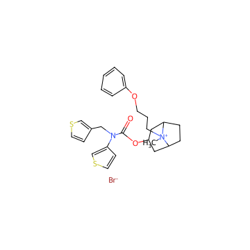 C[N+]1(CCCOc2ccccc2)C2CCC1CC(OC(=O)N(Cc1ccsc1)c1ccsc1)C2.[Br-]